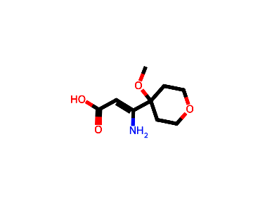 COC1(C(N)=CC(=O)O)CCOCC1